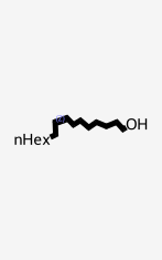 CCCCCCC/C=C\CCCCCCCO